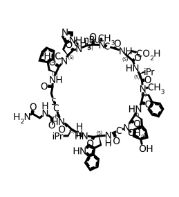 CCCC[C@H]1C(=O)N(C)CC(=O)N[C@@H](CC(=O)O)C(=O)N[C@@H](C(C)C)C(=O)N(C)[C@@H](Cc2ccccc2)C(=O)N[C@@H](Cc2ccc(O)cc2)C(=O)N(C)CC(=O)N[C@@H](Cc2c[nH]c3ccccc23)C(=O)NN[C@@H](CC(C)C)C(=O)N[C@H](C(=O)NCC(N)=O)CSCC(=O)N[C@@H](Cc2ccccc2)C(=O)N(C)[C@@H](Cc2cnc[nH]2)C(=O)N1C